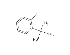 CC(P)(P)c1ccccc1F